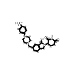 Cc1ccc(N2CCN(Cc3ccc4c(c3)C(=S)N(C3CCC(=O)NC3=O)C4)CC2)cc1